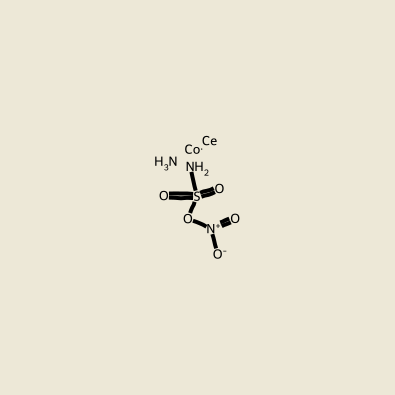 N.NS(=O)(=O)O[N+](=O)[O-].[Ce].[Co]